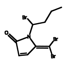 CCCC(Br)N1C(=O)C=CC1=C(Br)Br